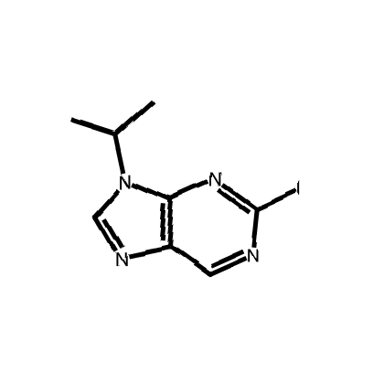 CC(C)n1cnc2cnc(I)nc21